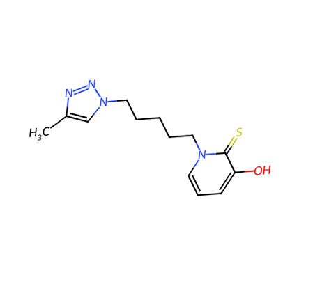 Cc1cn(CCCCCn2cccc(O)c2=S)nn1